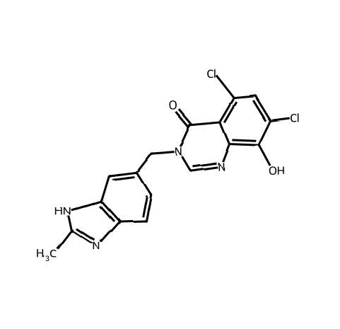 Cc1nc2ccc(Cn3cnc4c(O)c(Cl)cc(Cl)c4c3=O)cc2[nH]1